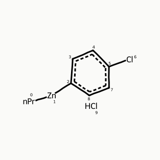 CC[CH2][Zn][c]1ccc(Cl)cc1.Cl